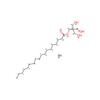 CCCCCCCCCCCCCCCCCC(=O)OCC(CO)(CO)CO.[Sn]